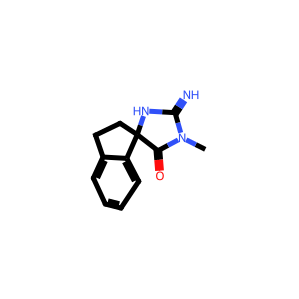 CN1C(=N)NC2(CCc3ccccc32)C1=O